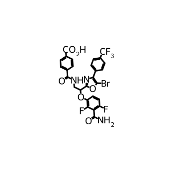 NC(=O)c1c(F)ccc(OC(CNC(=O)c2ccc(C(=O)O)cc2)c2nc(-c3ccc(C(F)(F)F)cc3)c(Br)o2)c1F